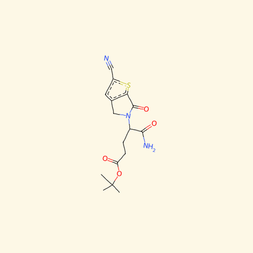 CC(C)(C)OC(=O)CCC(C(N)=O)N1Cc2cc(C#N)sc2C1=O